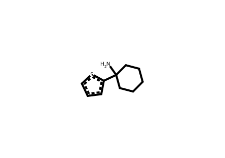 NC1(c2cccs2)CCCCC1